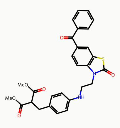 COC(=O)C(Cc1ccc(NCCn2c(=O)sc3cc(C(=O)c4ccccc4)ccc32)cc1)C(=O)OC